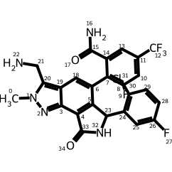 Cn1nc2c3c(c(-c4c(F)cc(C(F)(F)F)cc4C(N)=O)cc2c1CN)C(c1cc(F)ccc1Cl)NC3=O